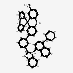 Nc1ccc2c(c1)C1(c3cc(-c4cccc(-c5nc6ccccc6n5-c5ccc(C6=CCCC=C6)c6ccccc56)c4)ccc3O2)c2ccccc2-c2ccccc21